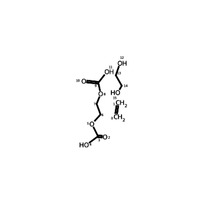 C=C.O=C(O)OCCOC(=O)O.OCCO